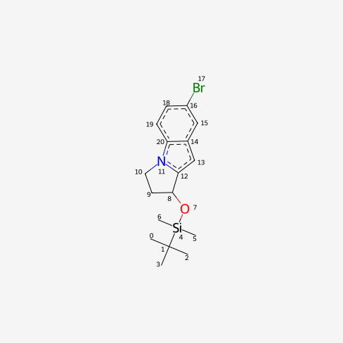 CC(C)(C)[Si](C)(C)OC1CCn2c1cc1cc(Br)ccc12